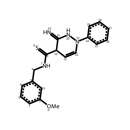 COc1cccc(CNC(=S)C2C=CN(c3ccccc3)NC2=N)c1